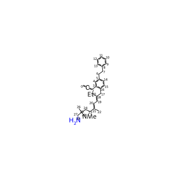 C=C=Cc1cc(CCc2ccccc2)ccc1C/C(=C/C=C(\C)CCC(C)(CN)NC)CC